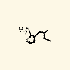 Bc1sccc1CC(C)CC